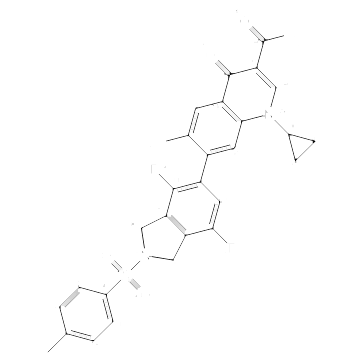 Cc1ccc(S(=O)(=O)N2Cc3c(F)cc(-c4cc5c(cc4F)c(=O)c(C(=O)O)cn5C4CC4)c(F)c3C2)cc1